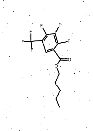 CCCCCOC(=O)c1cc(C(F)(F)F)c(F)c(F)c1F